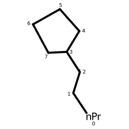 CCCC[CH]C1CCCC1